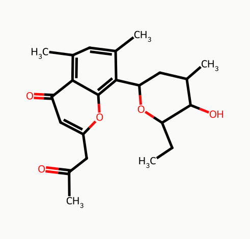 CCC1OC(c2c(C)cc(C)c3c(=O)cc(CC(C)=O)oc23)CC(C)C1O